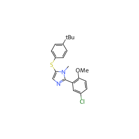 COc1ccc(Cl)cc1-c1ncc(Sc2ccc(C(C)(C)C)cc2)n1C